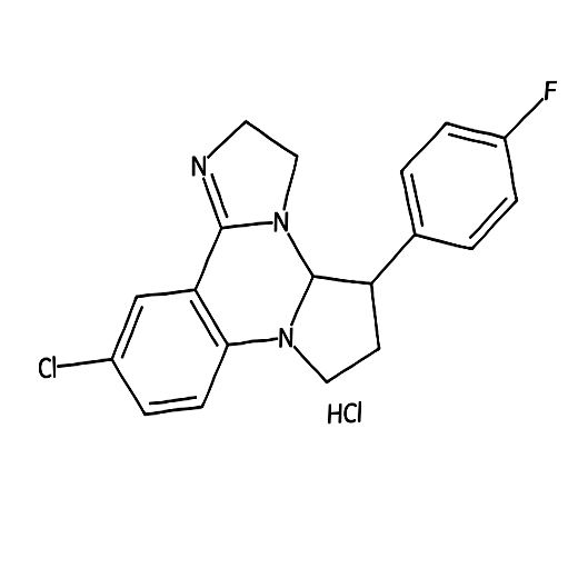 Cl.Fc1ccc(C2CCN3c4ccc(Cl)cc4C4=NCCN4C23)cc1